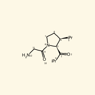 CC(C)C(=O)[C@@H]1[C@H](C(C)C)CCN1C(=O)CN